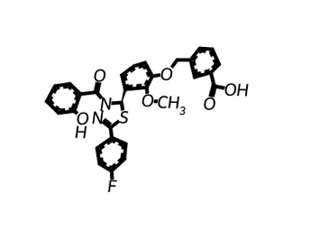 COc1c(OCc2cccc(C(=O)O)c2)cccc1[C@H]1SC(c2ccc(F)cc2)=NN1C(=O)c1ccccc1O